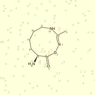 C/C1=N/OC(=O)[C@@H](N)CCCCN1